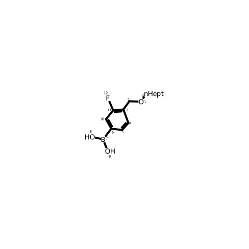 CCCCCCCOCc1ccc(B(O)O)cc1F